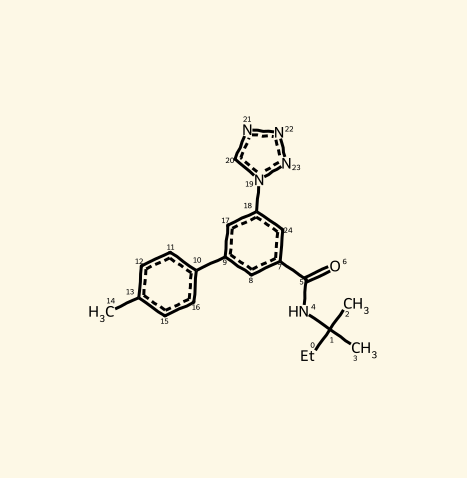 CCC(C)(C)NC(=O)c1cc(-c2ccc(C)cc2)cc(-n2cnnn2)c1